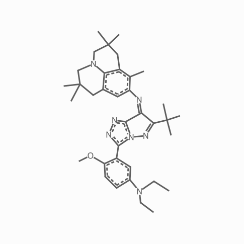 CCN(CC)c1ccc(OC)c(-c2nnc3n2N=C(C(C)(C)C)/C3=N/c2cc3c4c(c2C)CC(C)(C)CN4CC(C)(C)C3)c1